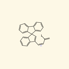 C=C(I)/C=C\C1=CC2(c3ccccc31)c1ccccc1-c1ccccc12